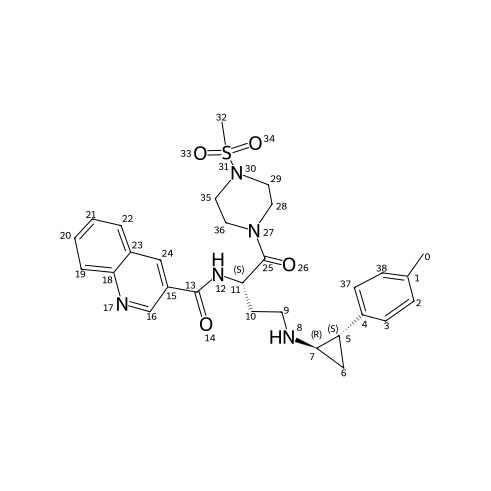 Cc1ccc([C@@H]2C[C@H]2NCC[C@H](NC(=O)c2cnc3ccccc3c2)C(=O)N2CCN(S(C)(=O)=O)CC2)cc1